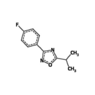 CC(C)c1nc(-c2ccc(F)cc2)no1